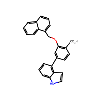 O=C(O)c1ccc(-c2cccc3[nH]ccc23)cc1OCc1cccc2ccccc12